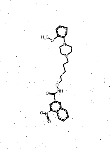 COc1ccccc1N1CCN(CCCCCONC(=O)c2cc([N+](=O)[O-])c3ccccc3c2)CC1